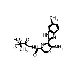 Cc1ccc2nc(-c3nc(C(=O)NCC(=O)C(C)(C)C)cnc3N)[nH]c2c1